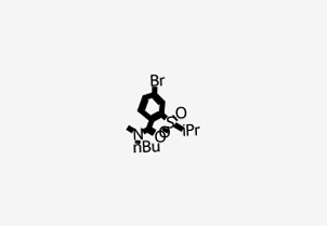 CCCCN(C)C(=O)c1ccc(Br)cc1S(=O)(=O)C(C)C